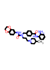 CC1CCN(CCCN(Cc2ccc(C(=O)Nc3ccccc3N)cc2)C(=O)Nc2ccc3c(c2)OCCO3)CC1